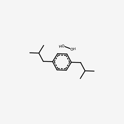 CC(C)Cc1ccc(CC(C)C)cc1.OO